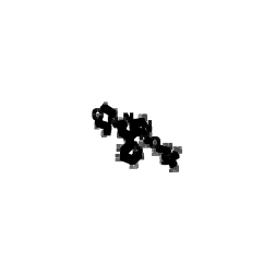 CC1COCCN1c1cc(-c2ccccn2)c2c(cnn2COCC[Si](C)(C)C)n1